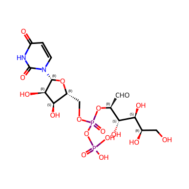 O=C[C@H](OP(=O)(OC[C@H]1O[C@@H](n2ccc(=O)[nH]c2=O)[C@H](O)[C@@H]1O)OP(=O)(O)O)[C@@H](O)[C@@H](O)[C@H](O)CO